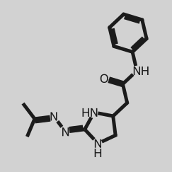 CC(C)=NN=C1NCC(CC(=O)Nc2ccccc2)N1